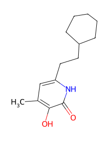 Cc1cc(CCC2CCCCC2)[nH]c(=O)c1O